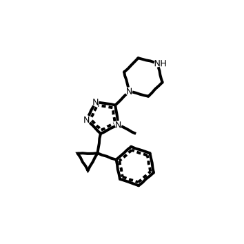 Cn1c(N2CCNCC2)nnc1C1(c2ccccc2)CC1